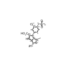 CC(C)c1nn(C)c2c(-c3ccc(CS(C)(=O)=O)c(Cl)c3)c(C(=O)O)[nH]c12